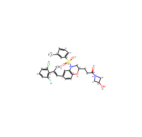 CC(=Cc1ccc2c(c1)N(S(=O)(=O)c1cccc(C(F)(F)F)c1)CC(CCC(=O)N1CC(O)C1)O2)c1c(F)cccc1Cl